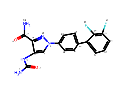 NC(=O)Nc1cn(-c2ccc(-c3cccc(F)c3F)cc2)nc1C(N)=O